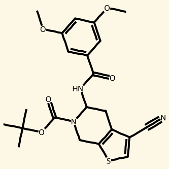 COc1cc(OC)cc(C(=O)NC2Cc3c(C#N)csc3CN2C(=O)OC(C)(C)C)c1